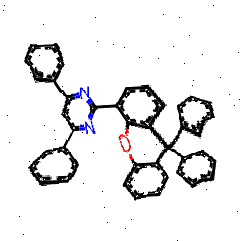 c1ccc(-c2cc(-c3ccccc3)nc(-c3cccc4c3Oc3ccccc3C4(c3ccccc3)c3ccccc3)n2)cc1